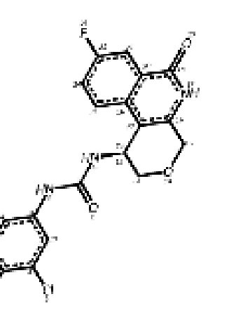 O=C(Nc1ccc(F)c(Cl)c1)N[C@@H]1COCc2[nH]c(=O)c3cc(F)ccc3c21